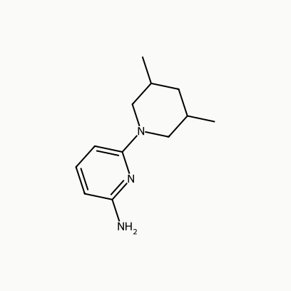 CC1CC(C)CN(c2cccc(N)n2)C1